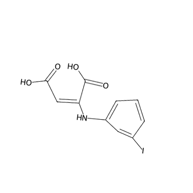 O=C(O)C=C(Nc1cccc(I)c1)C(=O)O